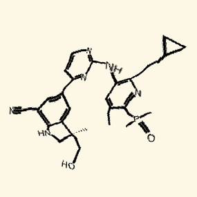 Cc1cc(Nc2nccc(-c3cc(C#N)c4c(c3)[C@@](C)(CO)CN4)n2)c(CCC2CC2)nc1P(C)(C)=O